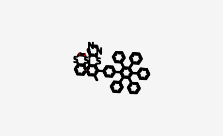 Cc1ccc2c(c1-c1ccc(-c3c(-c4ccccc4)c(-c4ccccc4)c(-c4ccccc4)c(-c4ccccc4)c3-c3ccccc3)cc1)Sc1ncncc1[Si]21c2ccccc2Sc2ccccc21